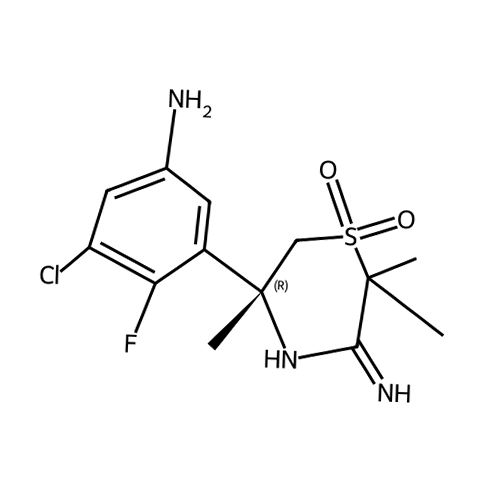 CC1(C)C(=N)N[C@](C)(c2cc(N)cc(Cl)c2F)CS1(=O)=O